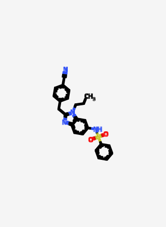 CCCn1c(Cc2ccc(C#N)cc2)nc2ccc(NS(=O)(=O)c3ccccc3)cc21